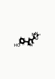 Oc1cccc(-c2cncc(-c3nnco3)c2)c1